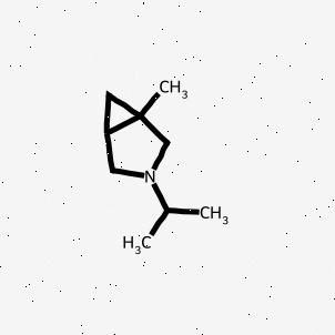 CC(C)N1CC2CC2(C)C1